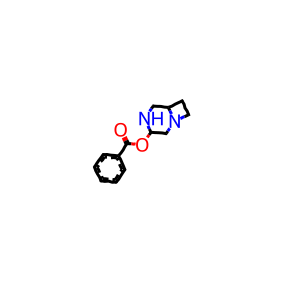 O=C(OC1CN2CCC2CN1)c1ccccc1